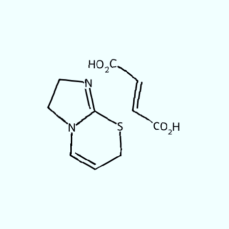 C1=CN2CCN=C2SC1.O=C(O)C=CC(=O)O